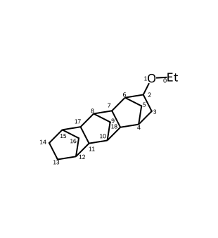 CCOC1CC2CC1C1C3CC(C4C5CCC(C5)C34)C21